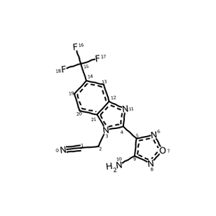 N#CCn1c(-c2nonc2N)nc2cc(C(F)(F)F)ccc21